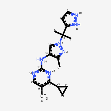 Cc1nn(C(C)(C)c2ccn[nH]2)cc1Nc1ncc(C(F)(F)F)c(C2CC2)n1